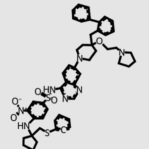 O=[N+]([O-])c1cc(S(=O)(=O)Nc2ncnc3cc(N4CCC(Cc5ccccc5-c5ccccc5)(OCCN5CCCC5)CC4)ccc23)ccc1NC1(CSc2ccccc2)CCCC1